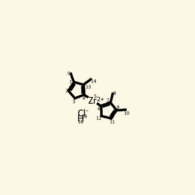 CC1=CC[C]([Zr+2][C]2=C(C)C(C)=CC2)=C1C.[Cl-].[H-]